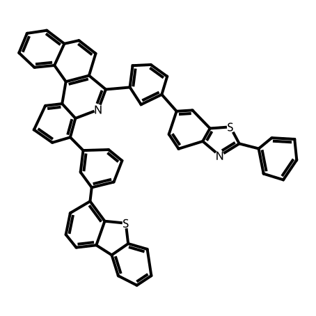 c1ccc(-c2nc3ccc(-c4cccc(-c5nc6c(-c7cccc(-c8cccc9c8sc8ccccc89)c7)cccc6c6c5ccc5ccccc56)c4)cc3s2)cc1